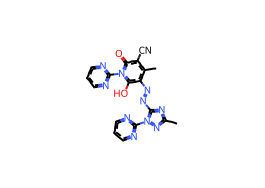 Cc1nc(/N=N/c2c(C)c(C#N)c(=O)n(-c3ncccn3)c2O)n(-c2ncccn2)n1